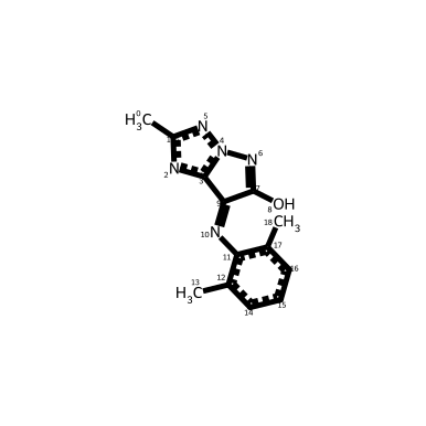 Cc1nc2n(n1)N=C(O)/C2=N\c1c(C)cccc1C